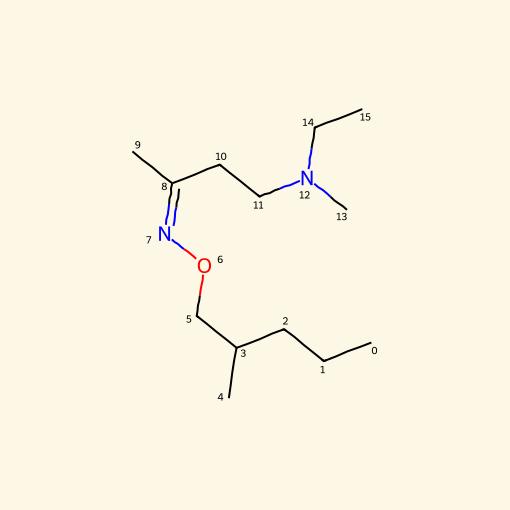 CCCC(C)CO/N=C(/C)CCN(C)CC